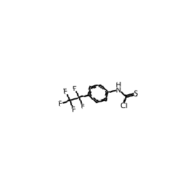 FC(F)(F)C(F)(F)c1ccc(NC(=S)Cl)cc1